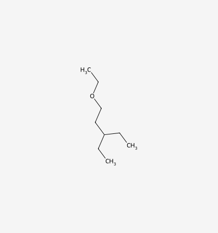 CCOCCC(CC)CC